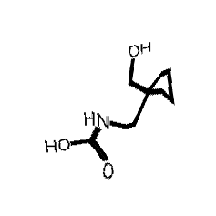 O=C(O)NCC1(CO)CC1